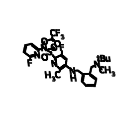 Cc1nc(S(=O)(=O)N(OC(=O)C(F)(F)F)c2cccc(F)n2)c(F)cc1NCc1ccccc1CN(C)C(C)(C)C